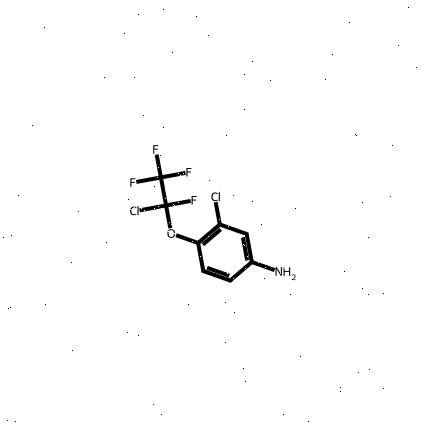 Nc1ccc(OC(F)(Cl)C(F)(F)F)c(Cl)c1